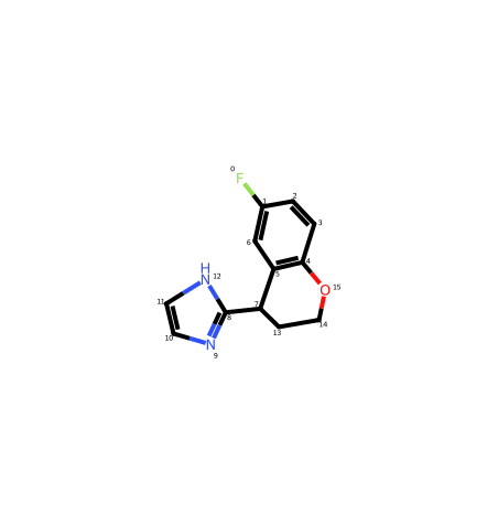 Fc1ccc2c(c1)C(c1ncc[nH]1)CCO2